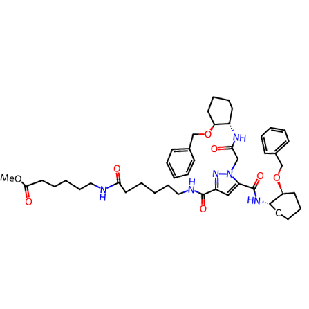 COC(=O)CCCCCNC(=O)CCCCCNC(=O)c1cc(C(=O)N[C@H]2CCCC[C@@H]2OCc2ccccc2)n(CC(=O)N[C@H]2CCCC[C@@H]2OCc2ccccc2)n1